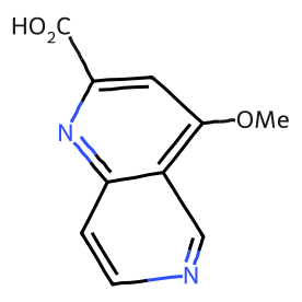 COc1cc(C(=O)O)nc2ccncc12